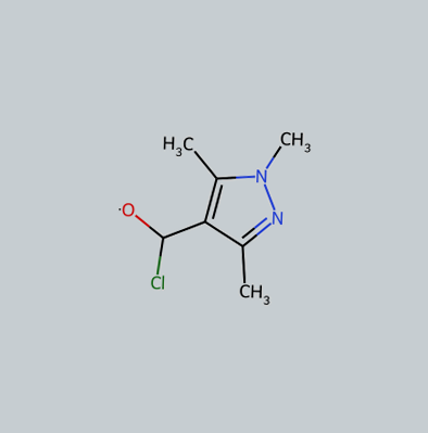 Cc1nn(C)c(C)c1C([O])Cl